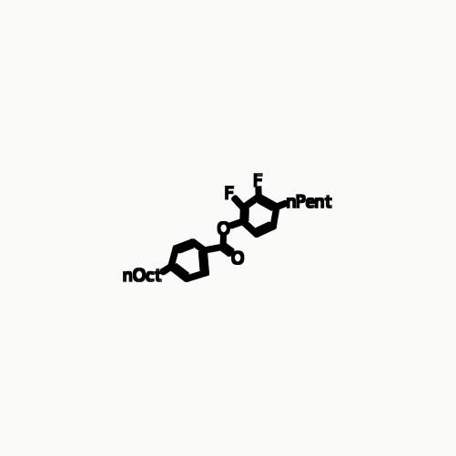 CCCCCCCCc1ccc(C(=O)Oc2ccc(CCCCC)c(F)c2F)cc1